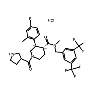 Cc1cc(F)ccc1[C@@H]1CN(C(=O)C2CCNC2)CC[C@H]1C(=O)N(C)Cc1cc(C(F)(F)F)cc(C(F)(F)F)c1.Cl